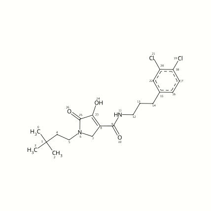 CC(C)(C)CCN1CC(C(=O)NCCCc2ccc(Cl)c(Cl)c2)=C(O)C1=O